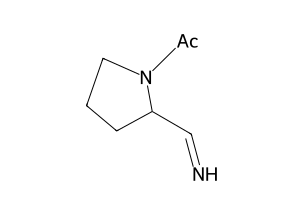 CC(=O)N1CCCC1C=N